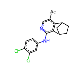 CC(=O)c1cnc(Nc2ccc(Cl)c(Cl)c2)c2c1C1CCC2C1